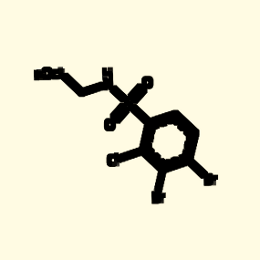 CCCCCCCCCNS(=O)(=O)c1ccc(Br)c(Br)c1Cl